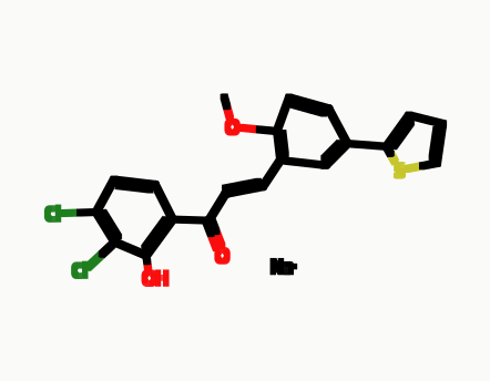 COc1ccc(-c2cccs2)cc1C=CC(=O)c1ccc(Cl)c(Cl)c1O.[Na]